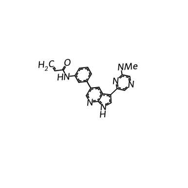 C=CC(=O)Nc1cccc(-c2cnc3[nH]cc(-c4cncc(NC)n4)c3c2)c1